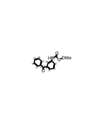 COOC(=O)Bc1cccc(C(=O)c2ccccc2)c1